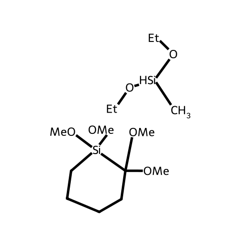 CCO[SiH](C)OCC.COC1(OC)CCCC[Si]1(OC)OC